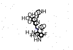 CNc1cc(F)c(F)c2c(/C(=C/c3cnc4c(c3)c(=O)c(C(O)O)cn4CC3CNCCO3)N3CCOCC3)c(N)[nH]c12